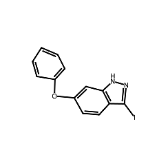 Ic1n[nH]c2cc(Oc3ccccc3)ccc12